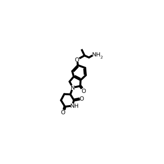 CC(CN)Oc1ccc2c(c1)CN(C1CCC(=O)NC1=O)C2=O